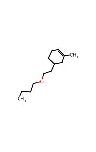 CCCCOCCC1CCC=C(C)C1